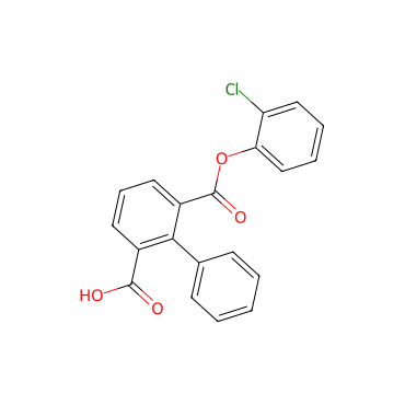 O=C(O)c1cccc(C(=O)Oc2ccccc2Cl)c1-c1ccccc1